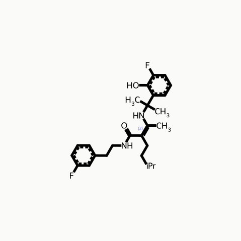 C/C(NC(C)(C)c1cccc(F)c1O)=C(\CCC(C)C)C(=O)NCCc1cccc(F)c1